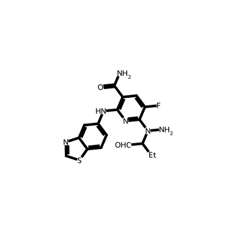 CCC(C=O)N(N)c1nc(Nc2ccc3scnc3c2)c(C(N)=O)cc1F